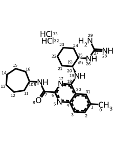 Cc1ccc2nc(C(=O)NC3CCCCCC3)nc(N[C@H]3CCCC[C@H]3NC(=N)N)c2c1.Cl.Cl